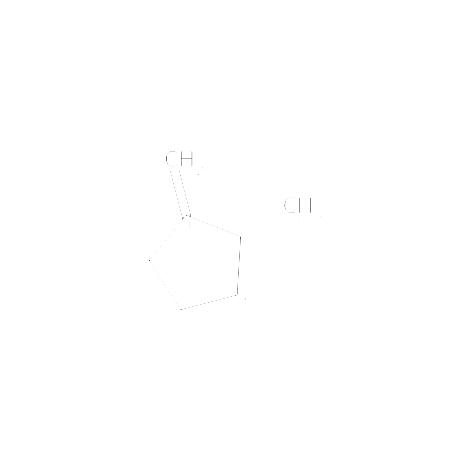 C=C1CC[CH][C@H]1C